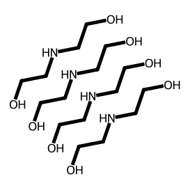 OCCNCCO.OCCNCCO.OCCNCCO.OCCNCCO